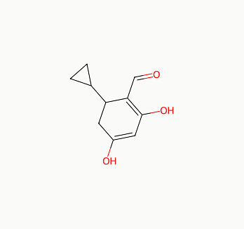 O=CC1=C(O)C=C(O)CC1C1CC1